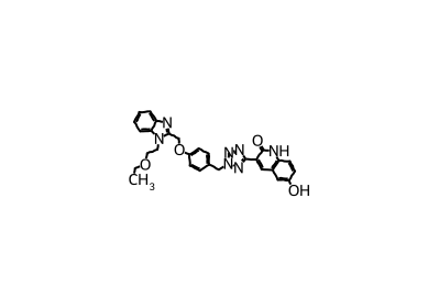 CCOCCn1c(COc2ccc(Cn3nnc(-c4cc5cc(O)ccc5[nH]c4=O)n3)cc2)nc2ccccc21